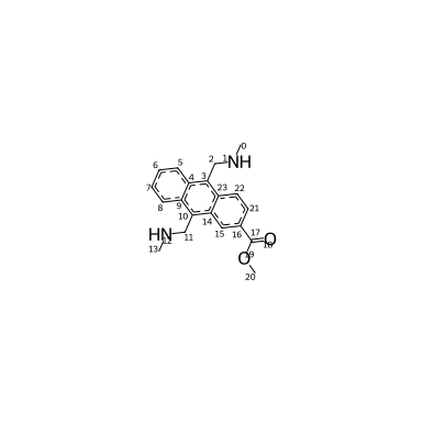 CNCc1c2ccccc2c(CNC)c2cc(C(=O)OC)ccc12